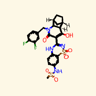 CS(=O)(=O)Nc1ccc2c(c1)S(=O)(=O)N=C(C1=C(O)[C@H]3C([C@@H]4CC[C@H]3C4)N(Cc3ccc(F)c(F)c3)C1=O)N2